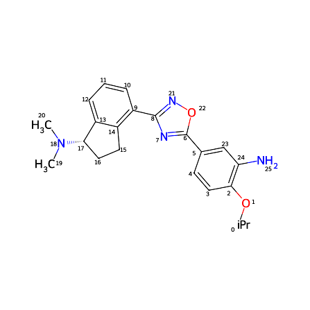 CC(C)Oc1ccc(-c2nc(-c3cccc4c3CC[C@@H]4N(C)C)no2)cc1N